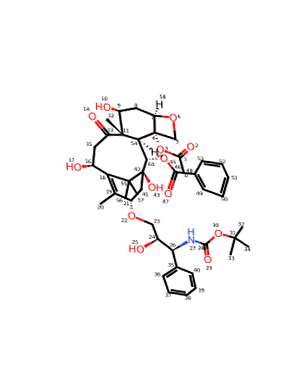 CC(=O)O[C@@]12CO[C@@H]1C[C@H](O)[C@@]1(C)C(=O)C[C@H](O)C3=C(C)[C@@H](OC[C@H](O)[C@@H](NC(=O)OC(C)(C)C)c4ccccc4)C[C@@](O)([C@@H](OC(=O)c4ccccc4)[C@H]21)C3(C)C